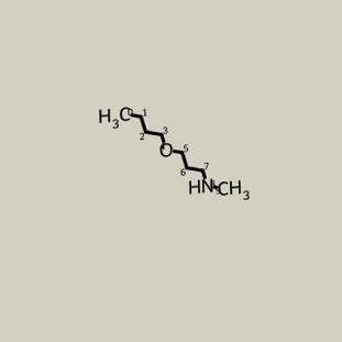 CCCCOCCCNC